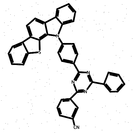 N#Cc1cccc(-c2nc(-c3ccccc3)nc(-c3ccc(-n4c5ccccc5c5ccc6c7ccccc7sc6c54)cc3)n2)c1